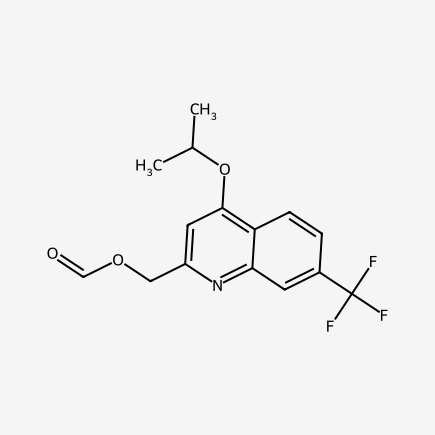 CC(C)Oc1cc(COC=O)nc2cc(C(F)(F)F)ccc12